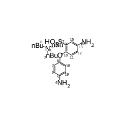 CCCCN(CCCC)CCCC.Nc1ccc(Oc2ccc(N)cc2S(=O)(=O)O)cc1